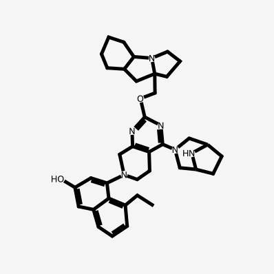 CCc1cccc2cc(O)cc(N3CCc4c(nc(OCC56CCCN5C5CCCCC5C6)nc4N4CC5CCC(C4)N5)C3)c12